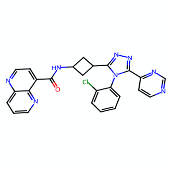 O=C(NC1CC(c2nnc(-c3ccncn3)n2-c2ccccc2Cl)C1)c1ccnc2cccnc12